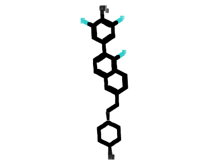 CC[C@H]1CC[C@H](CCc2ccc3c(F)c(-c4cc(F)c(C(F)(F)F)c(F)c4)ccc3c2)CC1